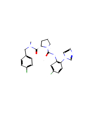 CN(Cc1ccc(Cl)cc1)C(=O)[C@H]1CCCN1C(=O)Nc1cc(F)ccc1-n1ccnc1